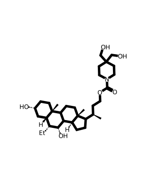 CC[C@H]1[C@@H](O)C2C(CC[C@]3(C)C([C@H](C)CCOC(=O)N4CCC(CO)(CO)CC4)CC[C@@H]23)[C@@]2(C)CC[C@@H](O)C[C@@H]12